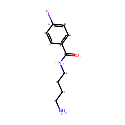 NCCCCNC(=O)c1ccc(I)cc1